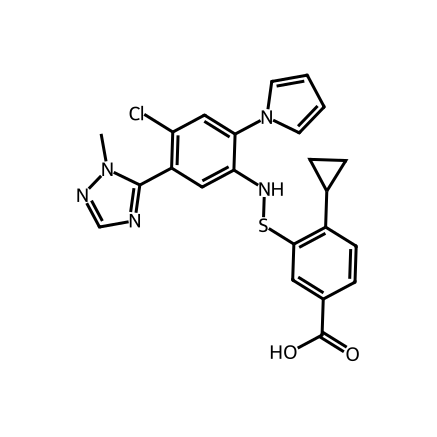 Cn1ncnc1-c1cc(NSc2cc(C(=O)O)ccc2C2CC2)c(-n2cccc2)cc1Cl